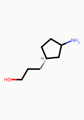 NC1CC[C@@H](CCCO)C1